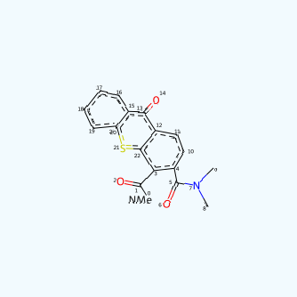 CNC(=O)c1c(C(=O)N(C)C)ccc2c(=O)c3ccccc3sc12